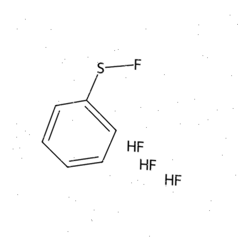 F.F.F.FSc1ccccc1